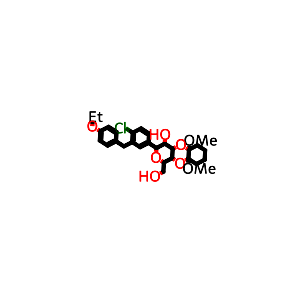 CCOc1ccc(Cc2cc(C3OC(CO)C4OC5(OC)CCCCC5(OC)OC4C3O)ccc2Cl)cc1